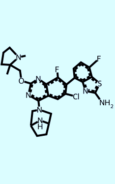 CN1CCCC1(C)COc1nc(N2CC3CCC(C2)N3)c2cc(Cl)c(-c3ccc(F)c4sc(N)nc34)c(F)c2n1